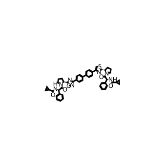 O=C(N[C@@H](C(=O)N1CCC[C@H]1c1nc(-c2ccc(-c3ccc(-c4csc([C@@H]5CCCN5C(=O)[C@H](NC(=O)C5CC5)c5ccccc5)n4)cc3)cc2)no1)c1ccccc1)C1CC1